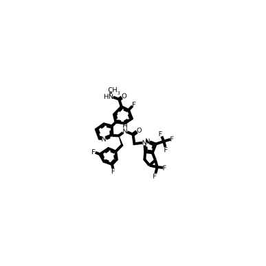 CNC(=O)c1cc(-c2cccnc2[C@H](Cc2cc(F)cc(F)c2)NC(=O)Cn2nc(C(F)(F)F)c3c2CC2C3C2(F)F)ccc1F